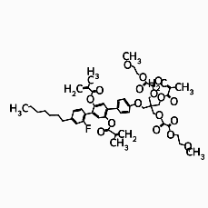 C=C(C)C(=O)OCC(COC(=O)C(=O)OCCOC)(COC(=O)C(=O)OCCOC)COc1ccc(-c2cc(OC(=O)C(=C)C)c(-c3ccc(CCCCCCC)cc3F)cc2OC(=O)C(=C)C)cc1